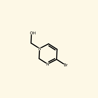 OCN1C=CC(Br)=NC1